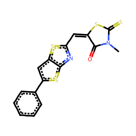 CN1C(=O)/C(=C\c2nc3sc(-c4ccccc4)cc3s2)SC1=S